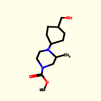 CC1CN(C(=O)OC(C)(C)C)CCN1C1CCC(CO)CC1